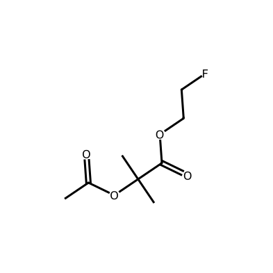 CC(=O)OC(C)(C)C(=O)OCCF